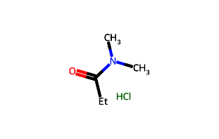 CCC(=O)N(C)C.Cl